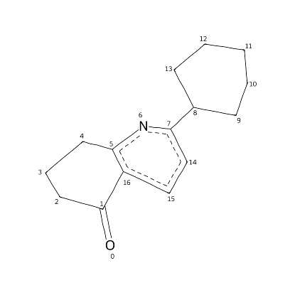 O=C1CCCc2nc(C3CCCCC3)ccc21